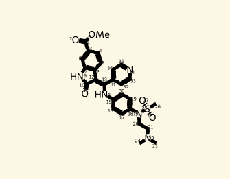 COC(=O)c1ccc2c(c1)NC(=O)/C2=C(\Nc1ccc(N(CCN(C)C)S(C)(=O)=O)cc1)c1ccncc1